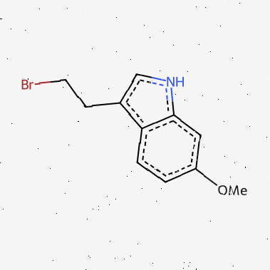 COc1ccc2c(CCBr)c[nH]c2c1